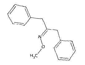 CON=C(Cc1ccccc1)Cc1ccccc1